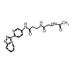 CC(=O)NCCC(=O)NCCC(=O)Nc1ccc(-c2nnc3ccccn23)nc1